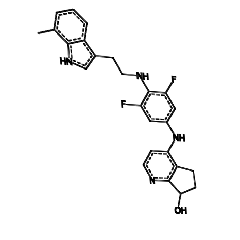 Cc1cccc2c(CCNc3c(F)cc(Nc4ccnc5c4CCC5O)cc3F)c[nH]c12